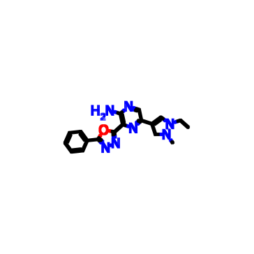 CCN1C=C(c2cnc(N)c(-c3nnc(-c4ccccc4)o3)n2)CN1C